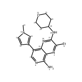 CCc1nc2c(N)ncc(-c3ccn(C)c3)c2nc1NC1CCOCC1